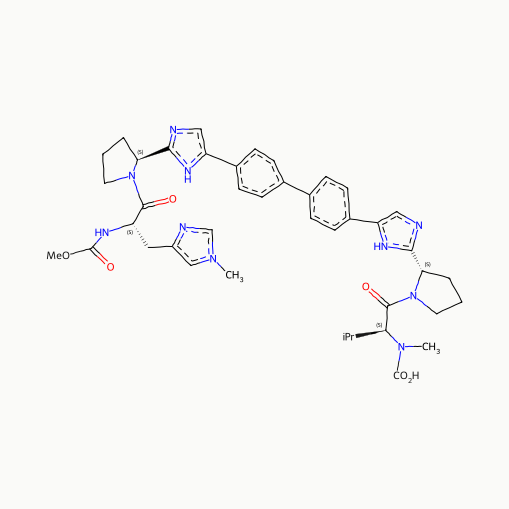 COC(=O)N[C@@H](Cc1cn(C)cn1)C(=O)N1CCC[C@H]1c1ncc(-c2ccc(-c3ccc(-c4cnc([C@@H]5CCCN5C(=O)[C@H](C(C)C)N(C)C(=O)O)[nH]4)cc3)cc2)[nH]1